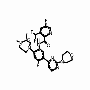 C[C@H]1CN(c2cc(F)c(-c3ccnc(N4CCOCC4)n3)cc2NC(=O)c2ncc(F)cc2C(F)F)CCN1C